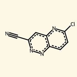 N#Cc1cc2nc(Cl)ccc2nn1